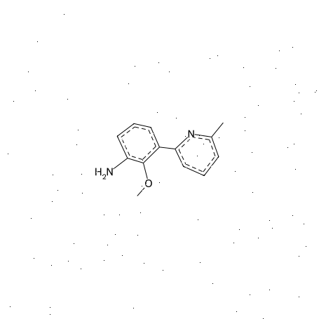 COc1c(N)cccc1-c1cccc(C)n1